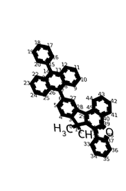 CC1(C)c2ccc(-c3c4ccccc4c(-c4ccccc4)c4ccccc34)cc2-c2c1c1c3ccccc3oc1c1ccccc21